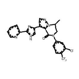 CC1CN(c2ccc(C(F)(F)F)c(Cl)c2)C(=O)c2c(-c3c[nH]c(-c4ccccn4)n3)cnn21